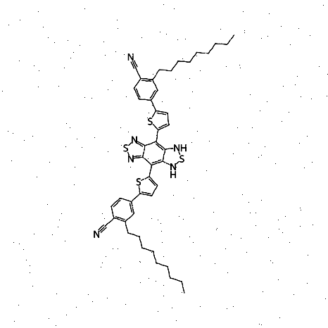 CCCCCCCCCc1cc(-c2ccc(-c3c4c(c(-c5ccc(-c6ccc(C#N)c(CCCCCCCCC)c6)s5)c5nsnc35)NSN4)s2)ccc1C#N